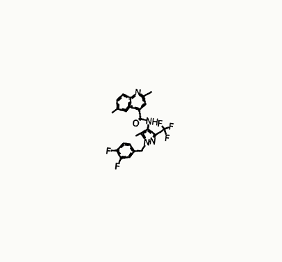 Cc1ccc2nc(C)cc(C(=O)Nc3c(C(F)(F)F)nn(Cc4ccc(F)c(F)c4)c3C)c2c1